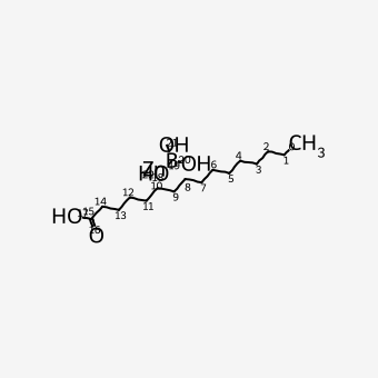 CCCCCCCCCCCCCCCC(=O)O.OB(O)O.[Zn]